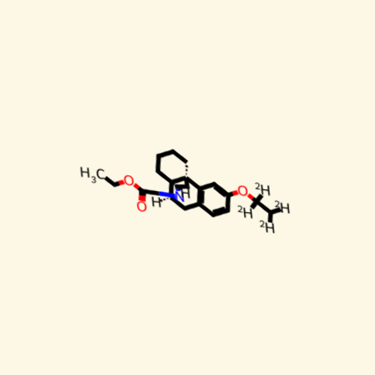 [2H]C([2H])C([2H])([2H])Oc1ccc2c(c1)[C@]13CCCC[C@@H]1[C@H](C2)N(C(=O)OCC)CC3